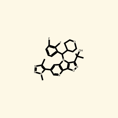 Cc1nnn(C)c1-c1cnc2c3onc(C(C)(C)O)c3n(C(c3cccc(F)c3F)C3CCOCC3)c2c1